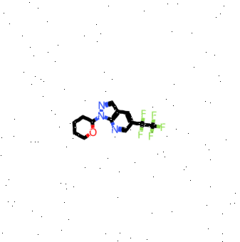 FC(F)(F)C(F)(F)c1cnc2c(cnn2C2CCCCO2)c1